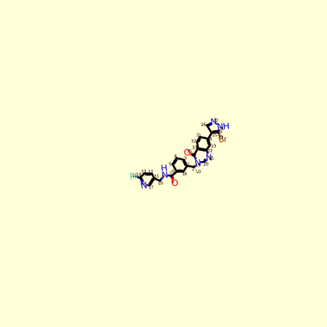 C[C@H](c1cccc(C(=O)NCc2ccc(F)nc2)c1)n1cnc2cc(-c3cn[nH]c3Br)ccc2c1=O